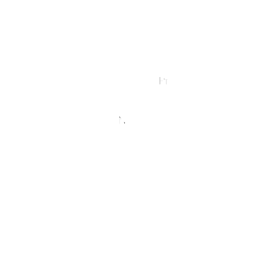 CC(C)CN1C=CC=CC1